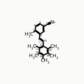 Cc1ccc(C#N)cc1/C=C/c1c(C)c(C)c(C)c(C)c1C